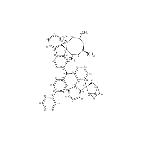 CC1C[C@@H](C)C[C@H](C)[C@@]2(c3ccccc3-c3ccc(N(c4ccc(-c5ccccc5)cc4)c4cccc5c4-c4ccccc4[C@]54CC5CCC4C5)cc32)[C@@H](C)C1